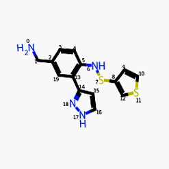 NCc1ccc(NSc2ccsc2)c(-c2cc[nH]n2)c1